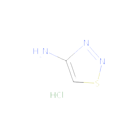 Cl.Nc1csnn1